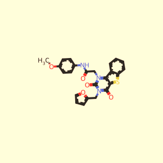 COc1ccc(NC(=O)Cn2c(=O)n(Cc3ccco3)c(=O)c3sc4ccccc4c32)cc1